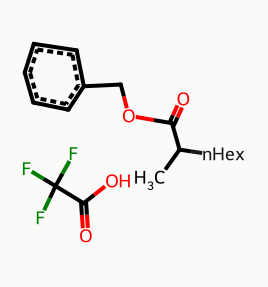 CCCCCCC(C)C(=O)OCc1ccccc1.O=C(O)C(F)(F)F